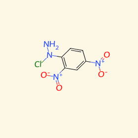 NN(Cl)c1ccc([N+](=O)[O-])cc1[N+](=O)[O-]